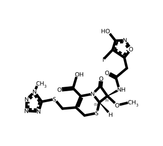 CO[C@@]1(NC(=O)Cc2onc(O)c2I)C(=O)N2C(C(=O)O)=C(CSc3nnnn3C)CS[C@H]21